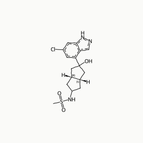 CS(=O)(=O)NC1C[C@@H]2CC(O)(c3cc(Cl)cc4[nH]ncc34)C[C@@H]2C1